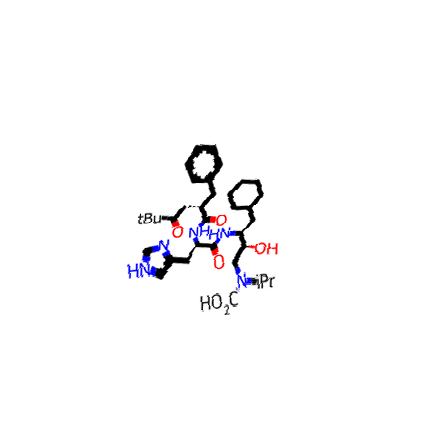 CC(C)N(C[C@H](O)[C@H](CC1CCCCC1)NC(=O)[C@@H](Cc1c[nH]cn1)NC(=O)[C@H](CC(=O)C(C)(C)C)Cc1ccccc1)C(=O)O